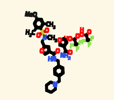 COc1cc(C)c(S(=O)(=O)N(C)Cc2cc(C(=O)NCc3ccc(CN4CCCCC4)cc3)co2)c(C)c1.NC(=O)c1ccoc1.O=C(O)C(F)(F)F.O=C(O)C(F)(F)F